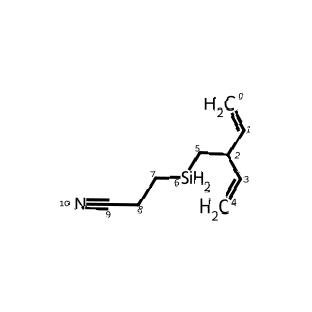 C=CC(C=C)C[SiH2]CCC#N